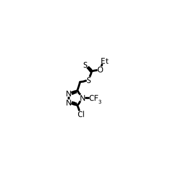 CCOC(=S)SCc1nnc(Cl)n1C(F)(F)F